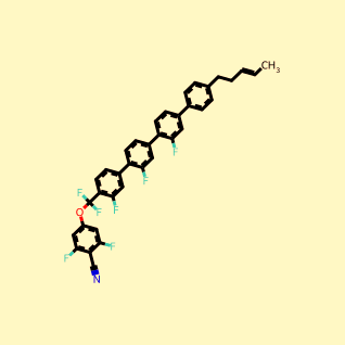 C/C=C/CCc1ccc(-c2ccc(-c3ccc(-c4ccc(C(F)(F)Oc5cc(F)c(C#N)c(F)c5)c(F)c4)c(F)c3)c(F)c2)cc1